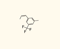 C/C=C\c1cc(C)cc(C(F)(F)F)c1